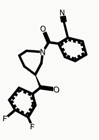 N#Cc1ccccc1C(=O)N1CCC[C@H](C(=O)c2ccc(F)c(F)c2)C1